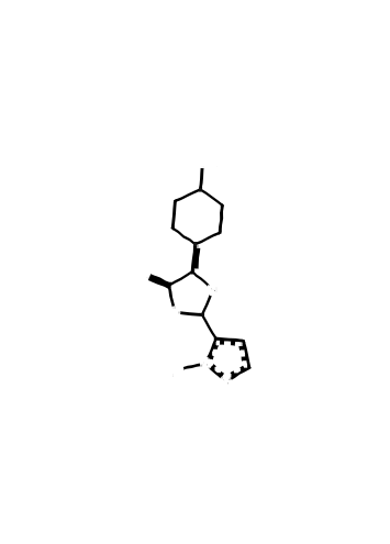 CC1CCC(=C2NC(c3ccnn3C)OC2=O)CC1